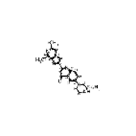 Cc1cn2cc(-c3cc(=O)n4cc(N5CCN[C@@H](C)C5)ccc4n3)nc2c(C)n1